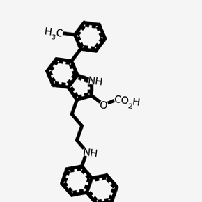 Cc1ccccc1-c1cccc2c(CCCNc3cccc4ccccc34)c(OC(=O)O)[nH]c12